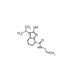 C=CCNC(=O)c1cccc2c1nc(O)n2C(C)C